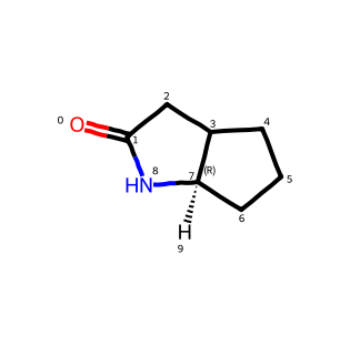 O=C1CC2CCC[C@H]2N1